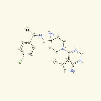 Cc1c[nH]c2ncnc(N3CCC(N)(CN[C@@H](C)c4ccc(Cl)cc4)CC3)c12